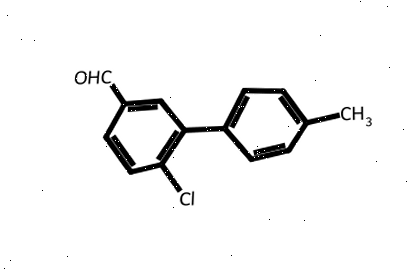 Cc1ccc(-c2cc(C=O)ccc2Cl)cc1